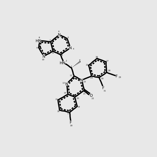 C[C@@H](Nc1ncnc2[nH]cnc12)c1nc2ccc(F)cc2c(=O)n1-c1cccc(F)c1F